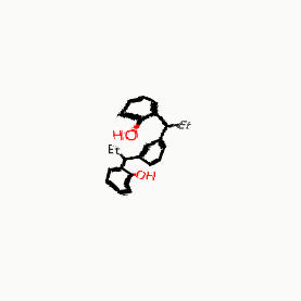 CCC(c1cccc(C(CC)c2ccccc2O)c1)c1ccccc1O